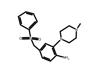 CN1CCN(c2cc(CS(=O)(=O)c3ccccc3)ccc2N)CC1